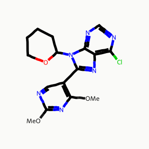 COc1ncc(-c2nc3c(Cl)ncnc3n2C2CCCCO2)c(OC)n1